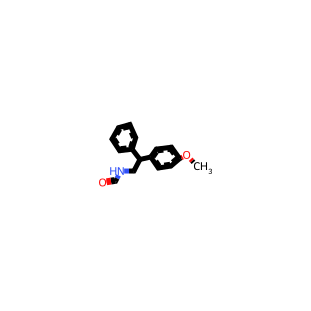 COc1ccc(C(CNC=O)c2ccccc2)cc1